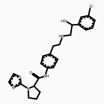 O=C(Nc1ccc(CCNCC(O)c2cccc(Cl)c2)cc1)C1CCCN1c1nccs1